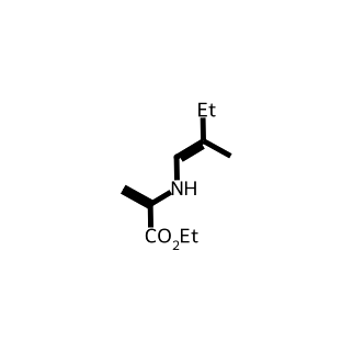 C=C(N/C=C(\C)CC)C(=O)OCC